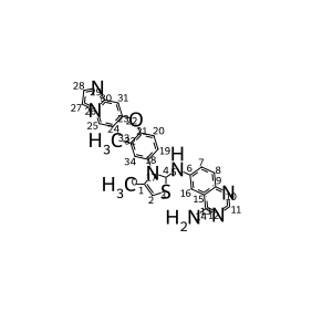 CC1=CSC(Nc2ccc3ncnc(N)c3c2)N1c1ccc(Oc2ccn3ccnc3c2)c(C)c1